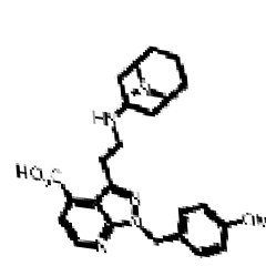 COc1ccc(Cn2nc(CCNC3CC4CCCC(C3)N4C)c3c(C(=O)O)ccnc32)cc1